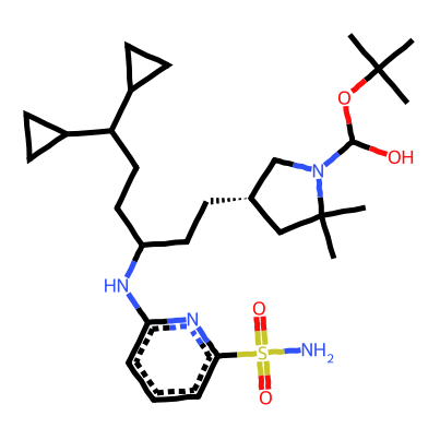 CC(C)(C)OC(O)N1C[C@@H](CCC(CCC(C2CC2)C2CC2)Nc2cccc(S(N)(=O)=O)n2)CC1(C)C